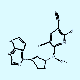 CN(c1nc(Cl)c(C#N)cc1F)[C@@H]1CCN(c2ncnc3[nH]ccc23)C1